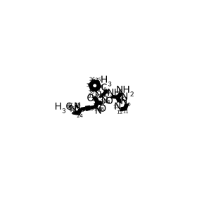 C[C@@H](NC(=O)c1c(N)nn2cccnc12)c1nc2onc(C#Cc3ccn(C)n3)c2c(=O)n1-c1ccccc1